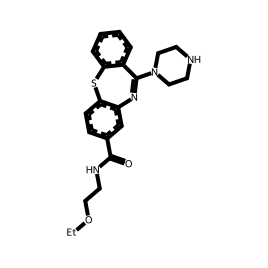 CCOCCNC(=O)c1ccc2c(c1)N=C(N1CCNCC1)c1ccccc1S2